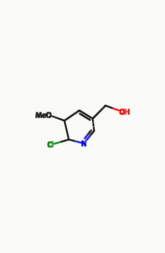 COC1C=C(CO)C=NC1Cl